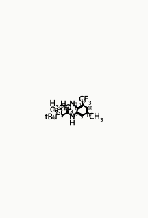 Cc1cc(NC(=O)C[Si](C)(C)C(C)(C)C)c(N)c(C(F)(F)F)c1